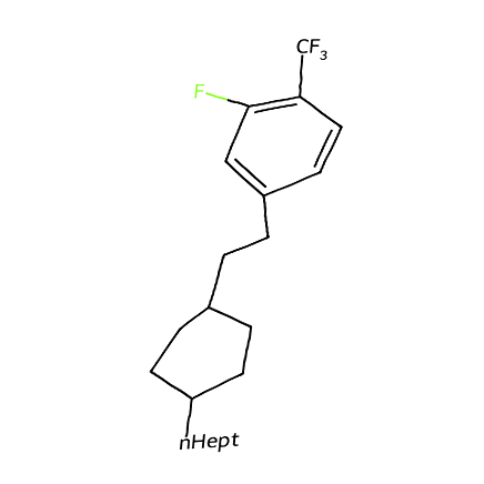 CCCCCCCC1CCC(CCc2ccc(C(F)(F)F)c(F)c2)CC1